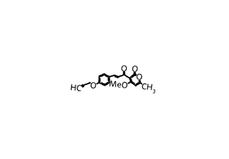 C#CCOc1ccc(/C=C/C(=O)c2c(OC)cc(C)oc2=O)cc1